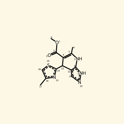 COC(=O)C1=C(C)Nc2[nH]ncc2C1c1nc(C)cs1